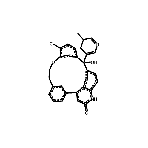 CC1C=NC=C([C@@]2(O)c3ccc(Cl)c(c3)OCCc3cccc(c3)-c3cc(=O)[nH]c4ccc2cc34)C1